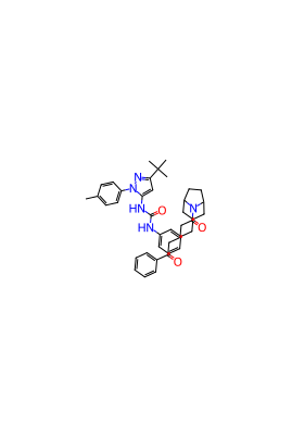 Cc1ccc(-n2nc(C(C)(C)C)cc2NC(=O)Nc2cccc(CC3CC4CCC(C3)N4C(=O)CCCC(=O)c3ccccc3)c2)cc1